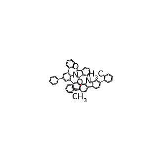 Cc1ccccc1-c1ccc2c3ccc(-c4ccccc4C)cc3n(-c3cccc4c3C(=O)N(c3c(-c5ccccc5)cc(-c5ccccc5)cc3-c3ccccc3)C4=O)c2c1